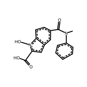 CN(C(=O)c1ccc2c(c1)cc(C(=O)O)n2O)c1ccccc1